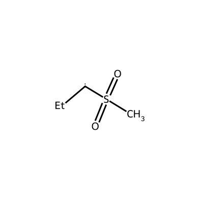 CC[CH]S(C)(=O)=O